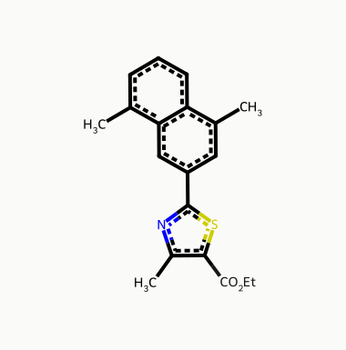 CCOC(=O)c1sc(-c2cc(C)c3cccc(C)c3c2)nc1C